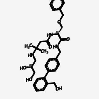 CC(C)(CC(=O)N[C@H](COCc1ccccc1)C(=O)NCc1ccc(-c2ccccc2CO)cc1)NC[C@H](O)CO